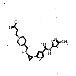 Cc1nnc(NC(=O)c2csc([C@@H]3CC3NCC3CCN(CCC(=O)O)CC3)c2)s1